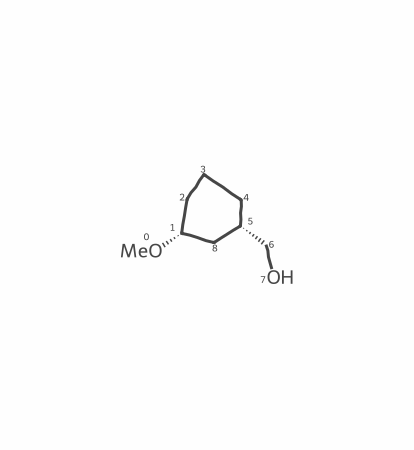 CO[C@@H]1CCC[C@H](CO)C1